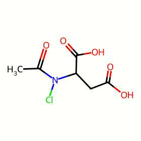 CC(=O)N(Cl)C(CC(=O)O)C(=O)O